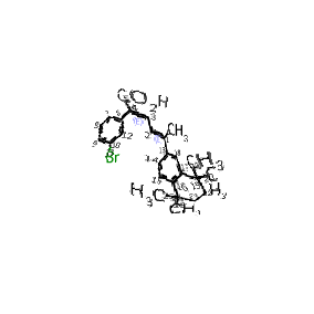 C/C(=C\C=C(\C(=O)O)c1cccc(Br)c1)c1ccc2c(c1)C(C)(C)CCC2(C)C